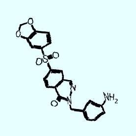 Nc1cccc(Cn2ncc3cc(S(=O)(=O)c4ccc5c(c4)OCO5)ccc3c2=O)c1